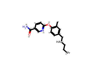 Cc1cc(C[AsH]CCC(C)C)ccc1Oc1ccc(C(N)=O)cn1